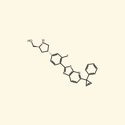 OC[C@@H]1C[C@@H](c2ccc(-c3nc4ccc(C5(c6ccccc6)C=C5)nc4s3)c(F)c2)CN1